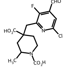 CC1CC(Cc2nc(Cl)cc(C=O)c2F)(C(=O)O)CCN1C(=O)O